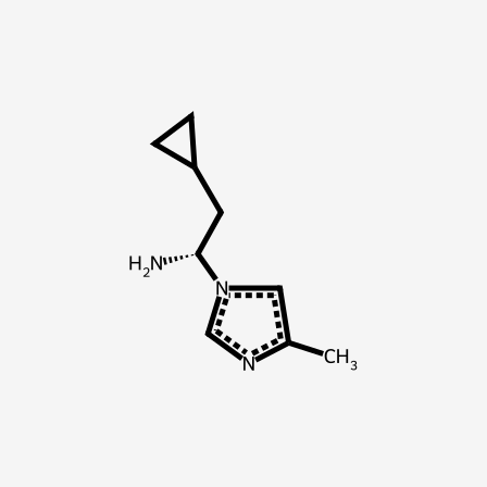 Cc1cn([C@H](N)CC2CC2)cn1